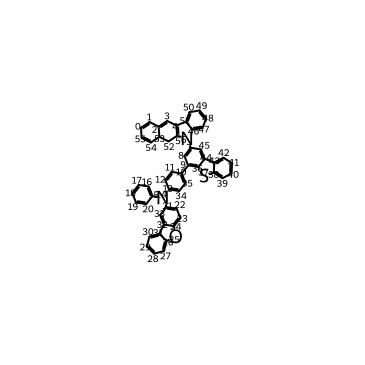 C1=CC2=Cc3c(n(-c4cc(-c5ccc(N(c6ccccc6)c6ccc7oc8ccccc8c7c6)cc5)c5sc6ccccc6c5c4)c4ccccc34)CC2C=C1